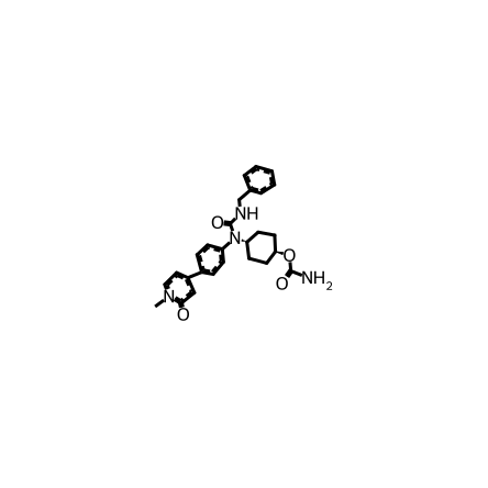 Cn1ccc(-c2ccc(N(C(=O)NCc3ccccc3)[C@H]3CC[C@H](OC(N)=O)CC3)cc2)cc1=O